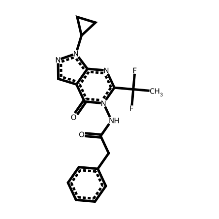 CC(F)(F)c1nc2c(cnn2C2CC2)c(=O)n1NC(=O)Cc1ccccc1